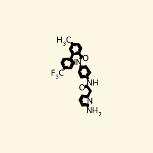 Cc1ccc(C(=O)Nc2ccc(NC(=O)Cc3cccc(N)n3)cc2)c(-c2ccc(C(F)(F)F)cc2)c1